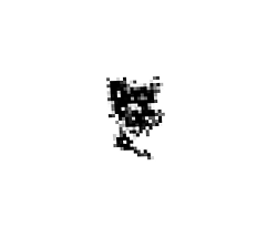 N#Cc1cccc(CNC(=O)c2cncc(-c3cc(F)cc(F)c3)c2N2CCC3(CCCN3)C2)c1